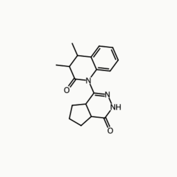 CC1C(=O)N(C2=NNC(=O)C3CCCC23)c2ccccc2C1C